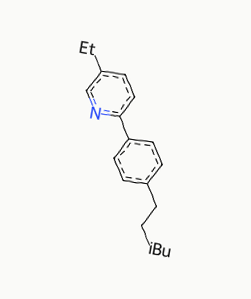 CCc1ccc(-c2ccc(CCC(C)CC)cc2)nc1